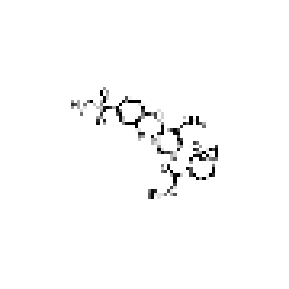 Cc1c(OCC23CCN(C(=O)OC(C)C)CC2C3)ncnc1Oc1ccc(S(C)(=O)=O)cc1F